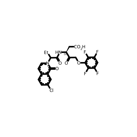 CCC(C(=O)N[C@@H](CC(=O)O)C(=O)COc1c(F)c(F)cc(F)c1F)n1ccc2ccc(Cl)cc2c1=O